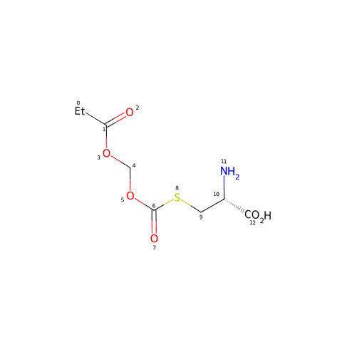 CCC(=O)OCOC(=O)SC[C@H](N)C(=O)O